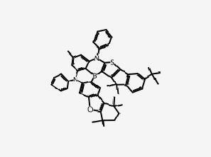 Cc1cc2c3c(c1)N(c1ccccc1)c1sc4c(c1B3c1cc3c5c(oc3cc1N2c1ccccc1)C(C)(C)CCC5(C)C)C(C)(C)c1ccc(C(C)(C)C)cc1-4